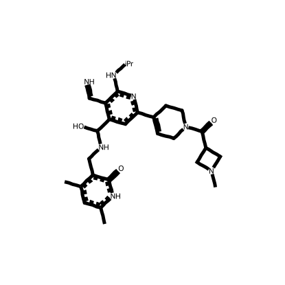 Cc1cc(C)c(CNC(O)c2cc(C3=CCN(C(=O)C4CN(C)C4)CC3)nc(NC(C)C)c2C=N)c(=O)[nH]1